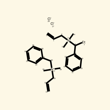 C=CC[N+](C)(C)C(CC)c1ccccc1.C=CC[N+](C)(C)Cc1ccccc1.[Cl-].[Cl-]